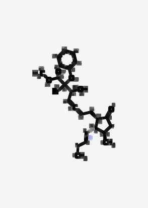 CC/C=C/[C@H]1[C@H](C)CC(=O)[C@@H]1CC=C=CC([16OH])C(Br)(Oc1ccccc1)C(=O)OC